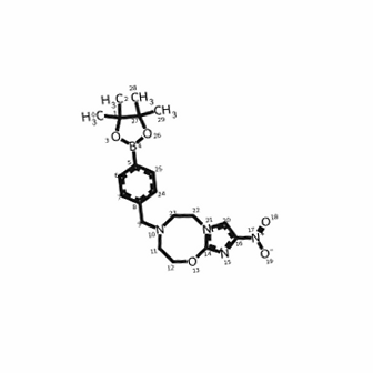 CC1(C)OB(c2ccc(CN3CCOc4nc([N+](=O)[O-])cn4CC3)cc2)OC1(C)C